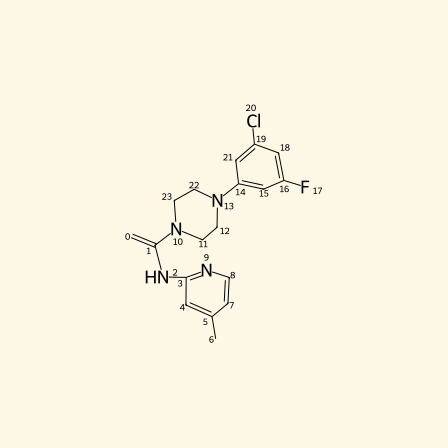 C=C(Nc1cc(C)ccn1)N1CCN(c2cc(F)cc(Cl)c2)CC1